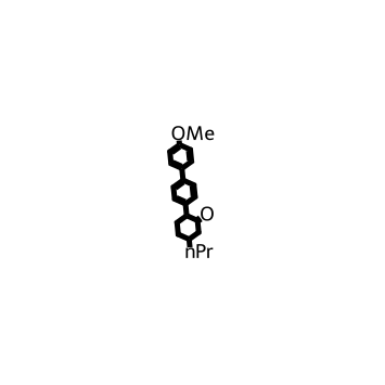 CCCC1CCC(c2ccc(-c3ccc(OC)cc3)cc2)C(=O)C1